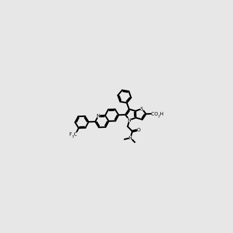 CN(C)C(=O)Cn1c(-c2ccc3nc(-c4cccc(C(F)(F)F)c4)ccc3c2)c(-c2ccccc2)c2sc(C(=O)O)cc21